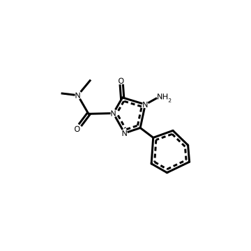 CN(C)C(=O)n1nc(-c2ccccc2)n(N)c1=O